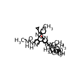 CCNC(=O)Nc1cc(-c2nc(C3CC3)cs2)c(-c2cc(-c3nn(C(OP(=O)(O)O)(C(C)(C)C)C(C)(C)C)c(=O)o3)cnc2OC2CCN(C)CC2)cn1